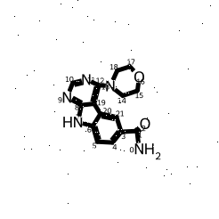 NC(=O)c1ccc2[nH]c3ncnc(N4CCOCC4)c3c2c1